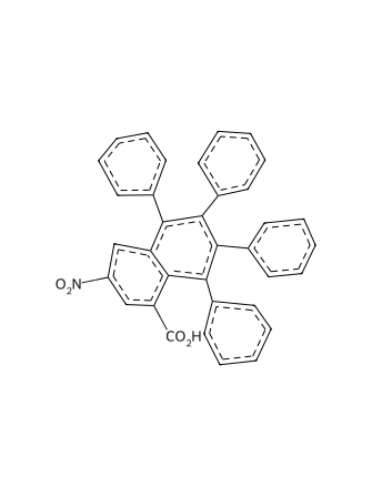 O=C(O)c1cc([N+](=O)[O-])cc2c(-c3ccccc3)c(-c3ccccc3)c(-c3ccccc3)c(-c3ccccc3)c12